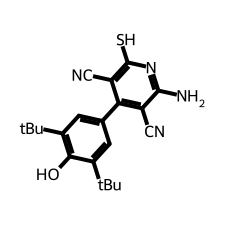 CC(C)(C)c1cc(-c2c(C#N)c(N)nc(S)c2C#N)cc(C(C)(C)C)c1O